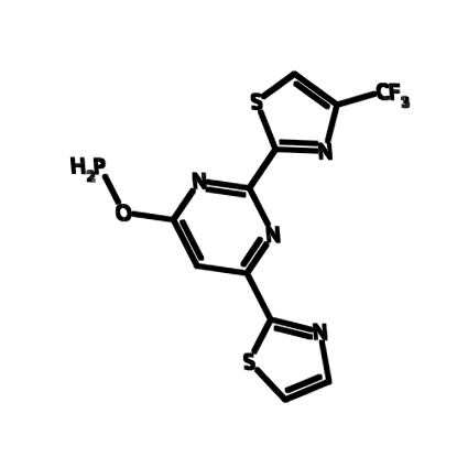 FC(F)(F)c1csc(-c2nc(OP)cc(-c3nccs3)n2)n1